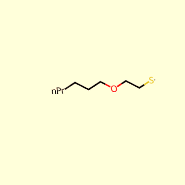 CCCCCCOCC[S]